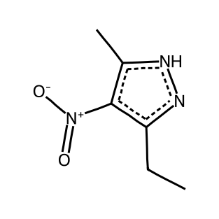 CCc1n[nH]c(C)c1[N+](=O)[O-]